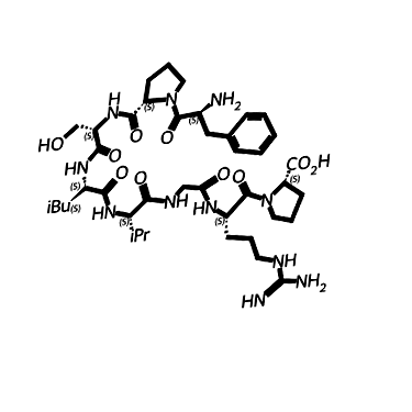 CC[C@H](C)[C@H](NC(=O)[C@H](CO)NC(=O)[C@@H]1CCCN1C(=O)[C@@H](N)Cc1ccccc1)C(=O)N[C@H](C(=O)NCC(=O)N[C@@H](CCCNC(=N)N)C(=O)N1CCC[C@H]1C(=O)O)C(C)C